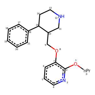 CCCOc1ncccc1OCC1CNCCC1c1ccccc1